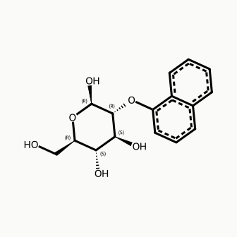 OC[C@H]1O[C@@H](O)[C@H](Oc2cccc3ccccc23)[C@@H](O)[C@@H]1O